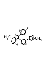 C[C@@H]1c2nc(-c3ccc(F)cn3)c(-c3ccnc(-c4cnn(C)c4)c3)n2[C@H]2CC12